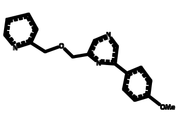 COc1ccc(-c2cncc(COCc3ccccn3)n2)cc1